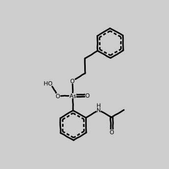 CC(=O)Nc1ccccc1[As](=O)(OO)OCCc1ccccc1